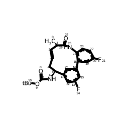 C[C@@H]1/C=C/C[C@H](NC(=O)OC(C)(C)C)c2cc(F)cc(c2)-c2cc(F)ccc2NC1=O